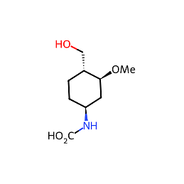 CO[C@H]1C[C@@H](NC(=O)O)CC[C@@H]1CO